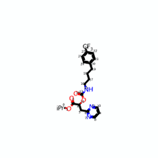 CC(C)OC(=O)C(Cc1ncccn1)OC(=O)NCCCCc1ccc(C(F)(F)F)cc1